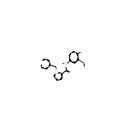 CCc1cc(N(C)C(=O)c2cccn2Cc2ccncc2)ccc1C